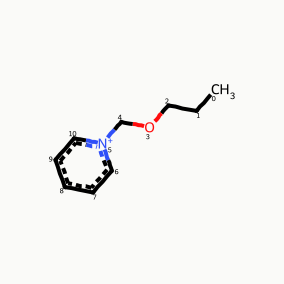 CCCOC[n+]1ccccc1